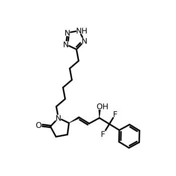 O=C1CC[C@H](/C=C/[C@@H](O)C(F)(F)c2ccccc2)N1CCCCCCc1nn[nH]n1